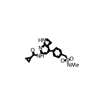 CNS(=O)(=O)Cc1ccc(-c2cc(NC(=O)C3CC3)nc3[nH]ccc23)cc1